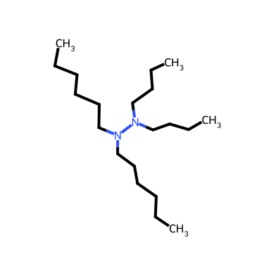 CCCCCCN(CCCCCC)N(CCCC)CCCC